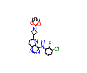 CC(C)(C)OC(=O)N1CC(c2ccc3ncnc(Nc4cccc(Cl)c4F)c3n2)C1